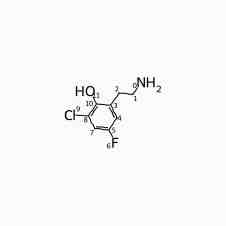 NCCc1cc(F)cc(Cl)c1O